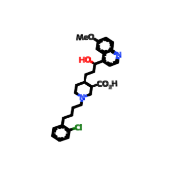 COc1ccc2nccc([C@H](O)CC[C@@H]3CCN(CCCCc4ccccc4Cl)C[C@@H]3C(=O)O)c2c1